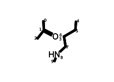 CC(C)=O.CCCCNC